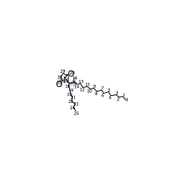 CCCCCCCCCCCCCC/C=C(\C)C(CCCCCCCC)N1C(=O)CCC1=O